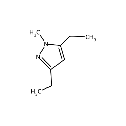 CCc1cc(CC)n(C)n1